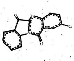 O=C1c2ccccc2-n2c1nc1ccc(Cl)cc1c2=O